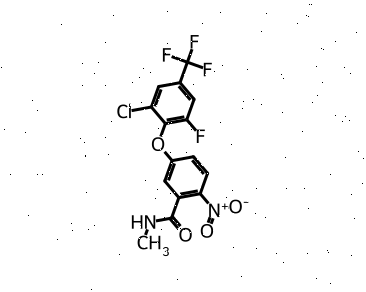 CNC(=O)c1cc(Oc2c(F)cc(C(F)(F)F)cc2Cl)ccc1[N+](=O)[O-]